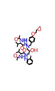 COCCOc1ccc(CN(C[C@H](O)[C@H](Cc2ccccc2)NC(=O)[C@@H](NC(C)=O)C(C)C)NC(=O)[C@@H](NC(C)=O)C(C)C)cc1